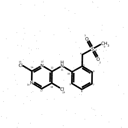 CS(=O)(=O)Cc1ccccc1Nc1nc(Cl)ncc1Cl